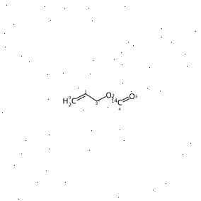 C=C[CH]O[14CH]=O